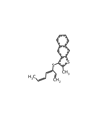 C=C/C(=C\C=C/C)Sc1c(C)sc2cc3ccccc3cc12